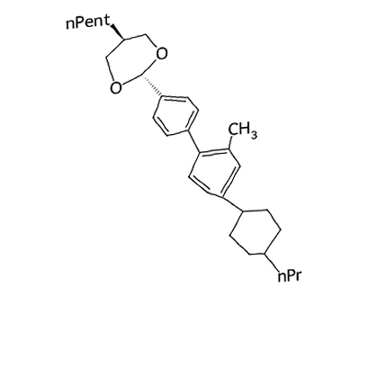 CCCCC[C@H]1CO[C@H](c2ccc(-c3ccc(C4CCC(CCC)CC4)cc3C)cc2)OC1